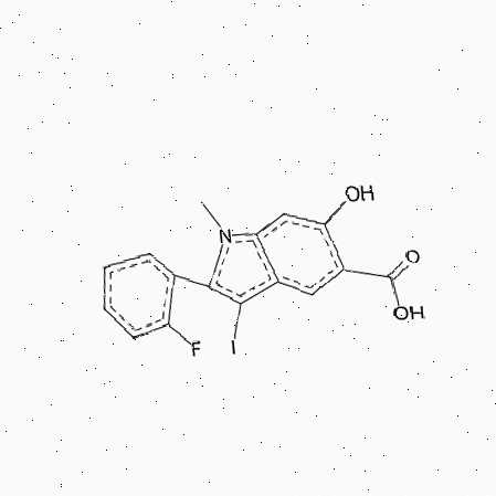 Cn1c(-c2ccccc2F)c(I)c2cc(C(=O)O)c(O)cc21